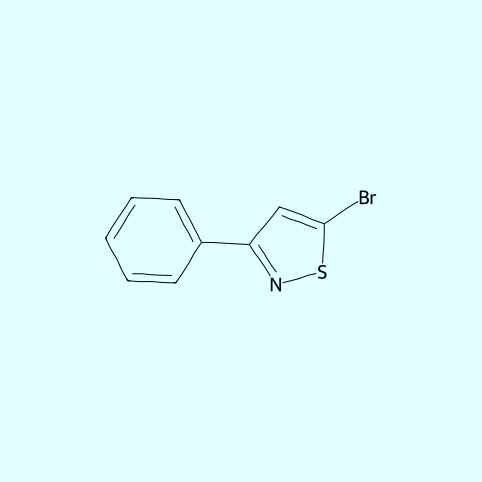 Brc1cc(-c2ccccc2)ns1